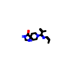 C=C(C)/C(=N\C=C/C)N1CCC2(CC1)NCNC2=O